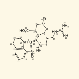 CCC1CCN(C(=O)[C@H](CCCNC(=N)N)NS(=O)(=O)c2cccc3c2NCCC3)C(C(=O)O)C1